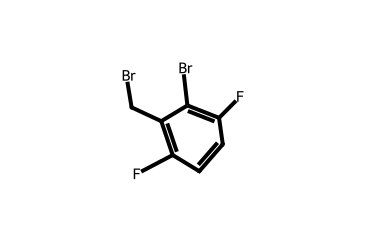 Fc1ccc(F)c(CBr)c1Br